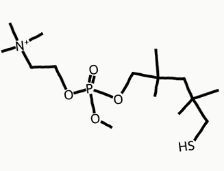 COP(=O)(OCC[N+](C)(C)C)OCC(C)(C)CC(C)(C)CS